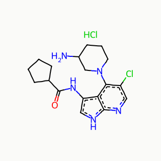 Cl.NC1CCCN(c2c(Cl)cnc3[nH]cc(NC(=O)C4CCCC4)c23)C1